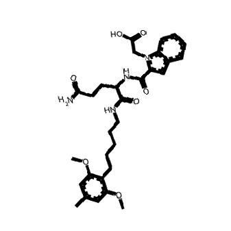 COc1cc(C)cc(OC)c1CCCCCNC(=O)C(CCC(N)=O)NC(=O)c1cc2ccccc2n1CC(=O)O